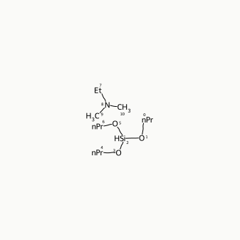 CCCO[SiH](OCCC)OCCC.CCN(C)C